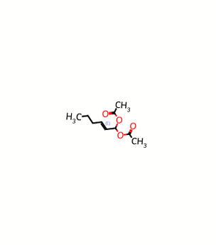 CCC/C=C/C(OC(C)=O)OC(C)=O